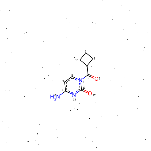 Nc1ccn(C(=O)C2CCC2)c(=O)n1